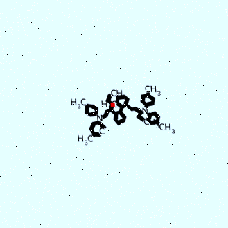 C\C=C/C=C(\C=C\N(C1=CCC=C(C)C=C1)c1ccc(C)cc1)c1ccccc1-c1c(C)cccc1C/C=C(\C=C/C)N(c1ccc(C)cc1)c1ccc(C)cc1